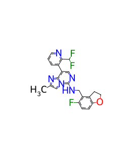 Cc1cn2c(NCc3c(F)ccc4c3CCO4)ncc(-c3cccnc3C(F)F)c2n1